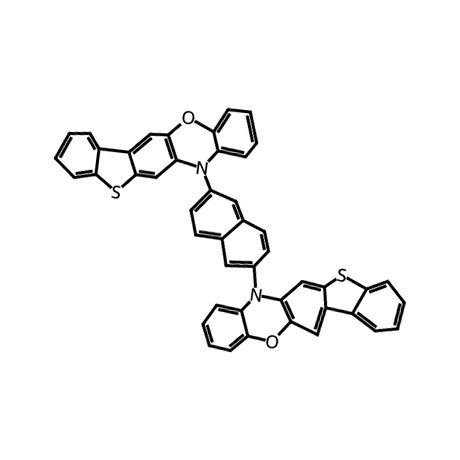 c1ccc2c(c1)Oc1cc3c(cc1N2c1ccc2cc(N4c5ccccc5Oc5cc6c(cc54)sc4ccccc46)ccc2c1)sc1ccccc13